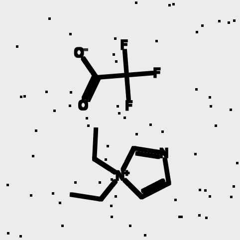 CC[N+]1(CC)C=CN=C1.O=C([O-])C(F)(F)F